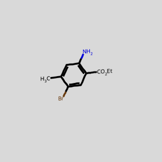 CCOC(=O)c1cc(Br)c(C)cc1N